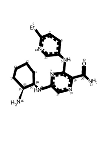 CCc1ccc(Nc2nc(N[C@@H]3CCCC[C@@H]3N)cnc2C(N)=O)cn1